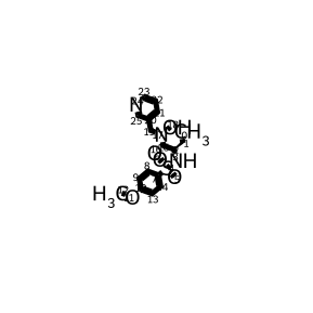 CC[C@@H](NS(=O)(=O)c1ccc(OC)cc1)C(=O)N(O)Cc1cccnc1